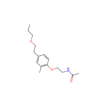 CCCOCCc1ccc(OCCNC(C)=O)c(C)c1